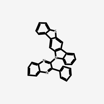 c1ccc(-c2nc3ccccc3nc2-n2c3ccccc3c3cc4sc5ccccc5c4cc32)cc1